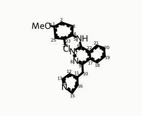 COc1ccc(Nc2nnc(Cc3ccncc3)c3ccccc23)c(Cl)c1